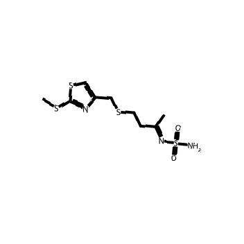 CSc1nc(CSCC/C(C)=N/S(N)(=O)=O)cs1